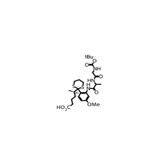 COc1ccc(C2([C@H](C)CCCC(=O)O)SCCCS2)c(NC(=O)C(C)NC(=O)CNC(=O)OC(C)(C)C)c1